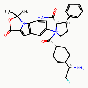 CC1(C)OC(=O)c2cc3cc([N+]4(C(=O)[C@H]5CC[C@H]([C@H](N)CF)CC5)CC[C@H](c5ccccc5)[C@H]4C(N)=O)ccc3n21